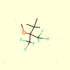 COC(C(C)(C)C)(C(F)(F)F)C(F)(F)F